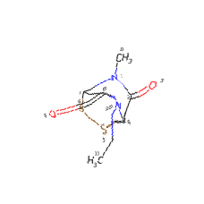 CN1C(=O)C2SSC1C(=O)N2C